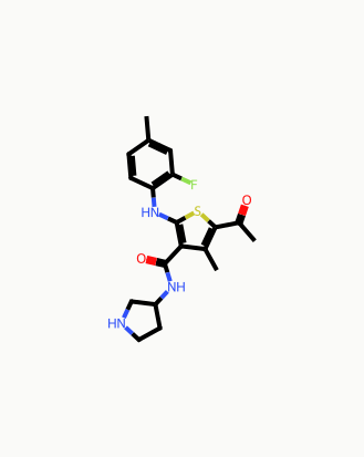 CC(=O)c1sc(Nc2ccc(C)cc2F)c(C(=O)NC2CCNC2)c1C